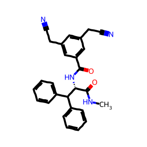 CNC(=O)[C@@H](NC(=O)c1cc(CC#N)cc(CC#N)c1)C(c1ccccc1)c1ccccc1